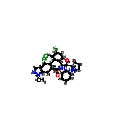 Cn1ncc2c(F)c(-c3c(Cl)c(F)cc4c3C[C@](c3ccccc3)([C@@H]3CCCN3)O4)c(C(N)=O)cc21